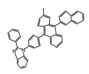 Cc1ccc2c(-c3ccc(-n4c(-c5ccccc5)nc5ccccc54)cc3)c3ccccc3c(-c3ccc4ccccc4c3)c2c1